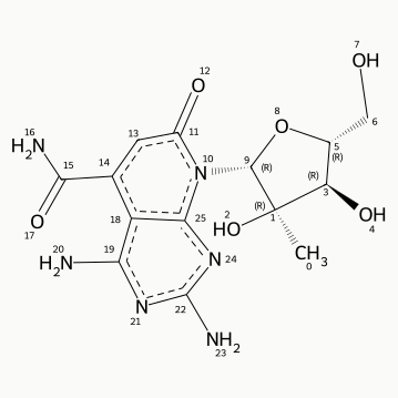 C[C@@]1(O)[C@H](O)[C@@H](CO)O[C@H]1n1c(=O)cc(C(N)=O)c2c(N)nc(N)nc21